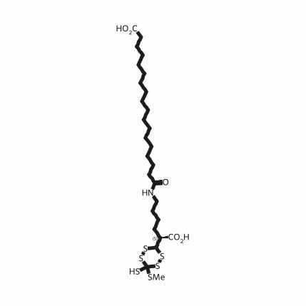 CSC1(S)SSC([C@@H](CCCCNC(=O)CCCCCCCCCCCCCCCCC(=O)O)C(=O)O)SS1